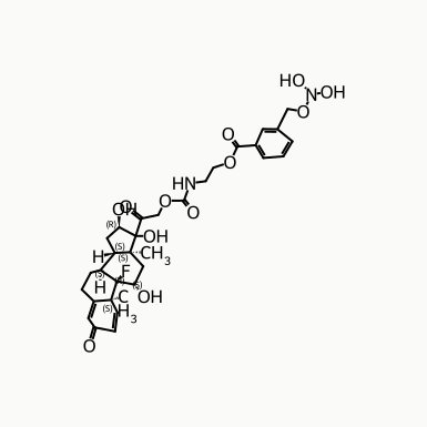 C[C@]12C[C@H](O)[C@@]3(F)[C@@H](CCC4=CC(=O)C=C[C@@]43C)[C@@H]1C[C@@H](O)C2(O)C(=O)COC(=O)NCCOC(=O)c1cccc(CON(O)O)c1